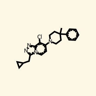 CC1(c2ccccc2)CCN(c2ccn3c(CC4CC4)nnc3c2Cl)CC1